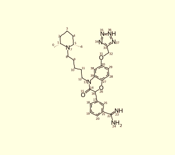 C[C@@H]1CCC[C@H](C)N1CCCCCN1C(=O)C(c2cccc(C(=N)N)c2)Oc2ccc(OCc3nn[nH]n3)cc21